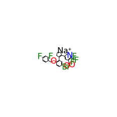 O=C([O-])c1cc(C2=C(c3cc(Br)ccc3OCc3ccc(F)cc3F)CCC2)cnc1C(F)(F)F.[Na+]